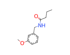 CCCC(=O)NCc1cccc(OC)c1